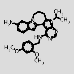 COc1ccc(CNc2ncnc3c2c2c(n3C(C)C)CCCn3c-2cc2ccc(N)cc23)c(OC)c1